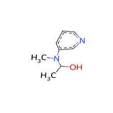 CC(O)N(C)c1cccnc1